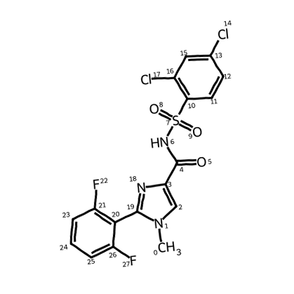 Cn1cc(C(=O)NS(=O)(=O)c2ccc(Cl)cc2Cl)nc1-c1c(F)cccc1F